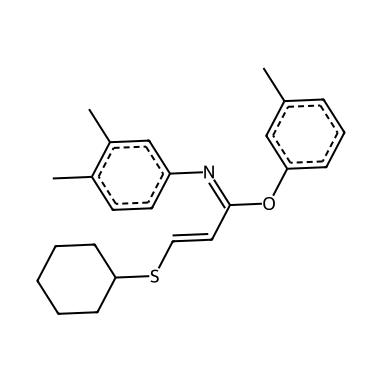 Cc1cccc(OC(C=CSC2CCCCC2)=Nc2ccc(C)c(C)c2)c1